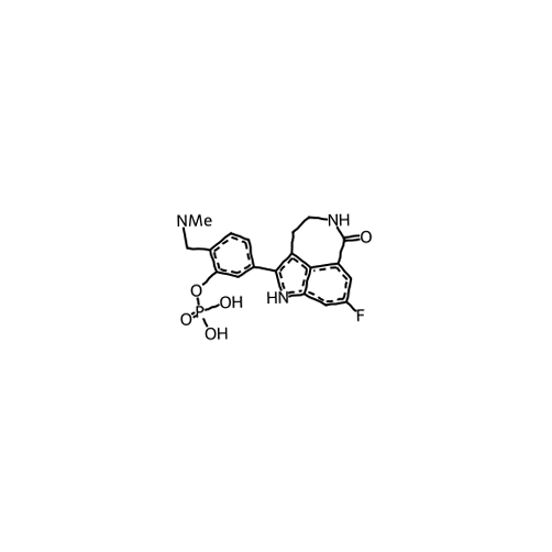 CNCc1ccc(-c2[nH]c3cc(F)cc4c3c2CCNC4=O)cc1OP(=O)(O)O